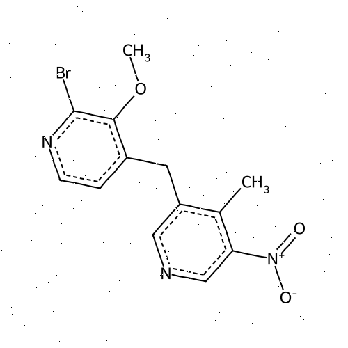 COc1c(Cc2cncc([N+](=O)[O-])c2C)ccnc1Br